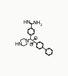 N=C(N)c1ccc(C(N2CCNCC2)S(=O)(=O)c2ccc(-c3ccccc3)cc2)cc1